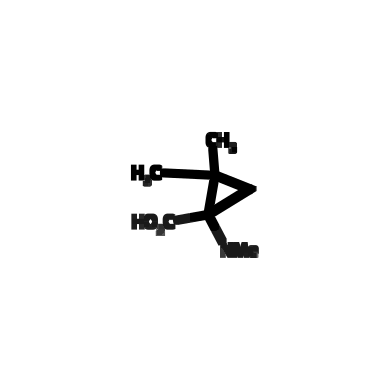 CNC1(C(=O)O)CC1(C)C